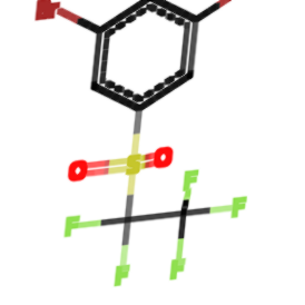 O=S(=O)(c1cc(Br)[c]c(Br)c1)C(F)(F)C(F)(F)F